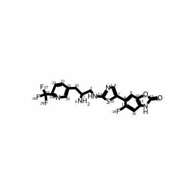 NC(CNc1ncc(-c2cc3oc(=O)[nH]c3cc2F)s1)Cc1ccc(C(F)(F)F)nc1